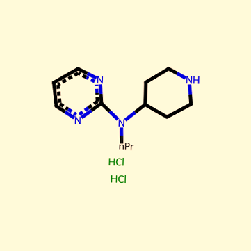 CCCN(c1ncccn1)C1CCNCC1.Cl.Cl